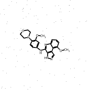 COc1cc(Nc2nc3cccc(OC)c3c3cn[nH]c23)ccc1N1CCOCC1